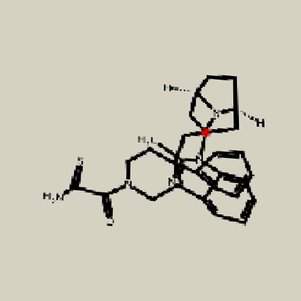 Cc1nc2ccccc2n1[C@H]1C[C@H]2CC[C@@H](C1)N2CCC1(c2ccccc2)CCN(C(=O)C(N)=S)CC1